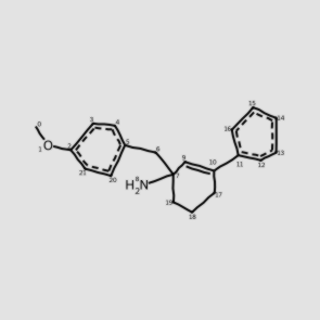 COc1ccc(CC2(N)C=C(c3ccccc3)CCC2)cc1